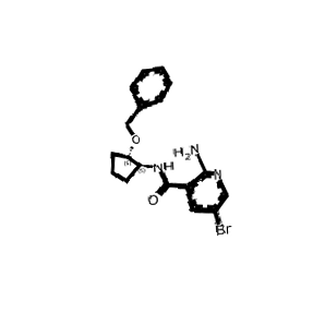 Nc1ncc(Br)cc1C(=O)N[C@H]1CCC[C@@H]1OCc1ccccc1